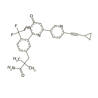 CC(C)(Cc1ccc(C(F)(F)F)c(-c2nc(-c3ccc(C#CC4CC4)nc3)cc(=O)[nH]2)c1)C(N)=O